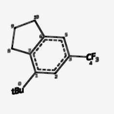 CC(C)(C)c1cc(C(F)(F)F)cc2c1CCC2